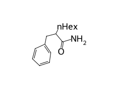 CCCCCCC(Cc1ccccc1)C(N)=O